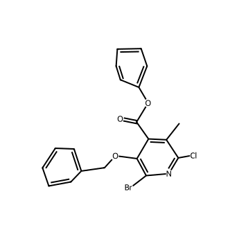 Cc1c(Cl)nc(Br)c(OCc2ccccc2)c1C(=O)Oc1ccccc1